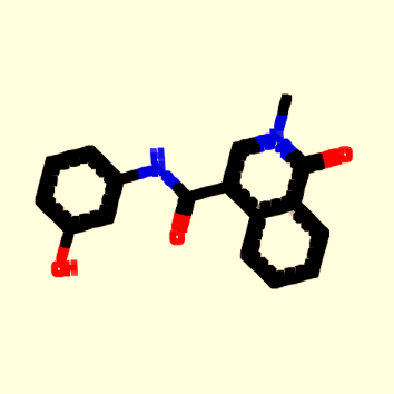 Cn1cc(C(=O)Nc2cccc(O)c2)c2ccccc2c1=O